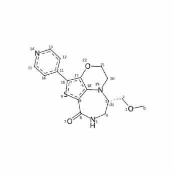 COC[C@@H]1CNC(=O)c2sc(-c3ccncc3)c3c2N1CCO3